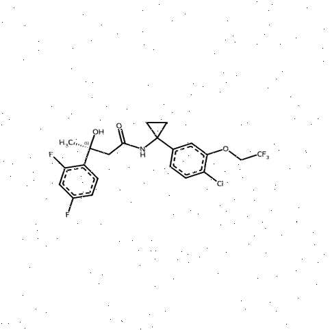 C[C@](O)(CC(=O)NC1(c2ccc(Cl)c(OCC(F)(F)F)c2)CC1)c1ccc(F)cc1F